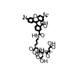 C[C@@H](CC(=O)O)C(=O)N[C@@H](CC(=O)O)C(=O)N[C@@H](CCCCNC(=O)c1ccc(-c2c3ccc(=[N+](C)C)cc-3oc3cc(N(C)C)ccc23)c(C(=O)O)c1)C(=O)O